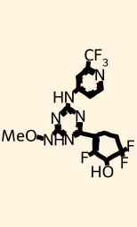 CONc1nc(Nc2ccnc(C(F)(F)F)c2)nc(C2=C(F)C(O)C(F)(F)CC2)n1